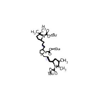 C[C@H]1CC(/C=C/C[C@H]2CCC(/C=C/CC3CCC(C)(C)N3C(=O)OC(C)(C)C)N2C(=O)OC(C)(C)C)N(C(=O)OC(C)(C)C)[C@H]1C